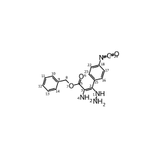 NN/C(=C(\N)C(=O)OCc1ccccc1)c1ccc(N=C=O)cc1